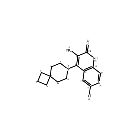 N#Cc1c(N2CCC3(CCC3)CC2)c2cc(Cl)ncc2[nH]c1=O